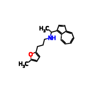 Cc1ccc(CCCNC(C)c2ccc3cccccc2-3)o1